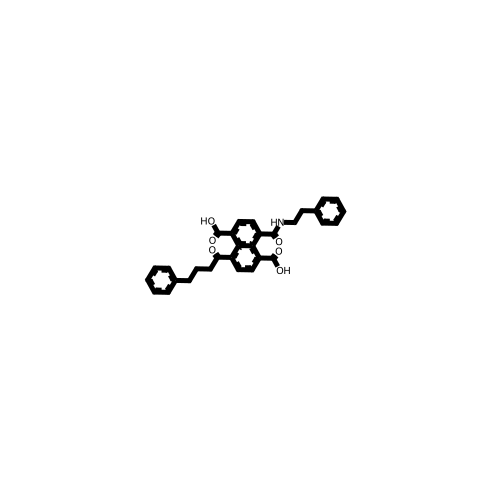 O=C(O)c1ccc(C(=O)NCCc2ccccc2)c2c(C(=O)O)ccc(C(=O)CCCc3ccccc3)c12